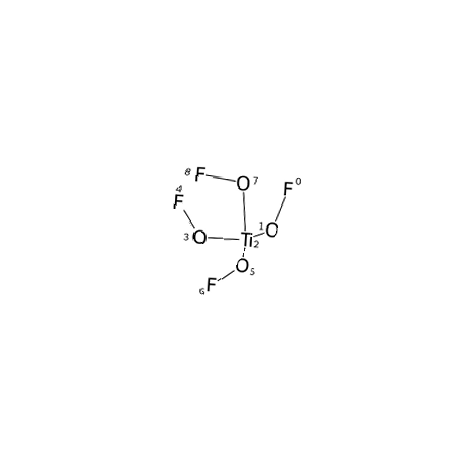 F[O][Ti]([O]F)([O]F)[O]F